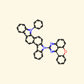 c1ccc(-n2c3ccccc3c3ccc4c(ccc5c4c4ccccc4n5-c4nc5c6c(cccc6n4)Oc4ccccc4-5)c32)cc1